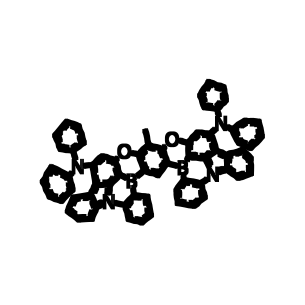 Cc1c2c(cc3c1Oc1cc(N(c4ccccc4)c4ccccc4)c4c5ccccc5n5c4c1B3c1ccccc1-5)B1c3ccccc3-n3c4ccccc4c4c(N(c5ccccc5)c5ccccc5)cc(c1c43)O2